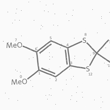 COc1cc2c(cc1OC)SC(C)(C)S2